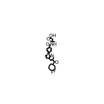 CC(C)(CC(=O)O)NC(=O)c1ccc(-n2ccc3cc(C(=O)C4CCCCC(F)(F)CC4)cnc32)cc1